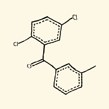 Cc1cccc(C(=O)c2cc(Cl)ccc2Cl)c1